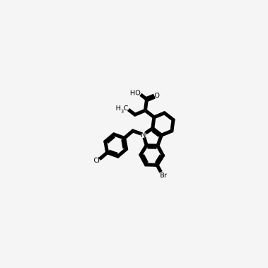 CCC(C(=O)O)C1CCCc2c1n(Cc1ccc(Cl)cc1)c1ccc(Br)cc21